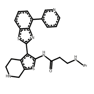 CC(C)NCCC(=O)Nc1sc2c(c1-c1nc3c(-c4cccnc4)cccc3s1)CCNC2